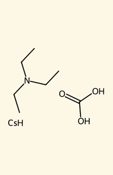 CCN(CC)CC.O=C(O)O.[CsH]